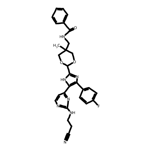 CC1(CNC(=O)c2ccccc2)COC(c2nc(-c3ccc(F)cc3)c(-c3ccnc(NCCC#N)n3)[nH]2)OC1